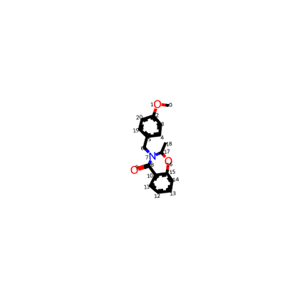 COc1ccc(CN2C(=O)c3ccccc3OC2C)cc1